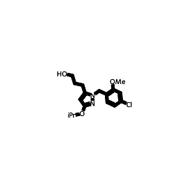 COc1cc(Cl)ccc1Cn1nc(OC(C)C)cc1CCCO